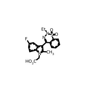 CCN1N=C(c2c(C)n(CC(=O)O)c3ccc(F)cc23)c2ccccc2S1(=O)=O